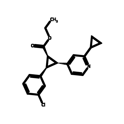 CCOC(=O)[C@@H]1[C@H](c2cccc(Cl)c2)[C@H]1c1ccnc(C2CC2)c1